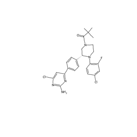 CC(C)(C)C(=O)N1CCN(c2ccc(Cl)cc2F)[C@H](c2ccc(-c3cc(Cl)nc(N)n3)cc2)C1